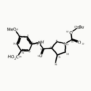 COc1cc(NC(=O)C2CN(C(=O)OC(C)(C)C)CC2C)cc(C(=O)O)c1